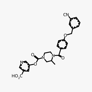 [C-]#[N+]c1cccc(COc2ccc(C(=O)N3CCN(C(=O)Oc4cncc(C(=O)O)c4)CC3C)cc2)c1